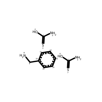 NC(O)=S.NC(O)=S.NCc1ccccc1